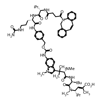 CN[C@H](C(=O)N[C@H](C(=O)N(C)[C@H](/C=C(\C)C(=O)O)C(C)C)C(C)(C)C)C(C)(C)c1cn(C)c2cc(NC(=O)OCc3ccc(NC(=O)[C@H](CCCNC(N)=O)NC(=O)[C@@H](NC(=O)CCC(=O)N4Cc5ccccc5/C=C\c5ccccc54)C(C)C)cc3)ccc12